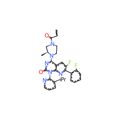 C=CC(=O)N1CCN(c2nc(=O)n(-c3ncccc3C(C)C)c3nc(-c4ccccc4F)c(F)cc23)[C@@H](C)C1